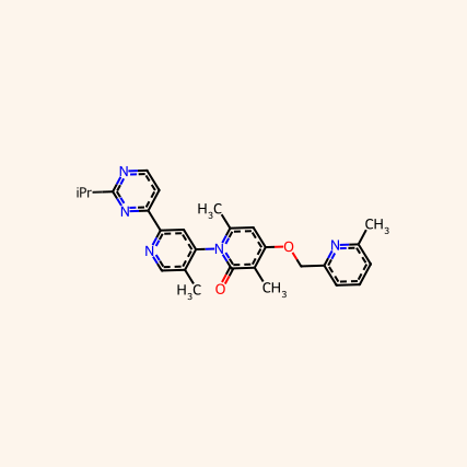 Cc1cccc(COc2cc(C)n(-c3cc(-c4ccnc(C(C)C)n4)ncc3C)c(=O)c2C)n1